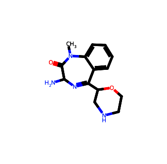 CN1C(=O)C(N)N=C(C2CNCCO2)c2ccccc21